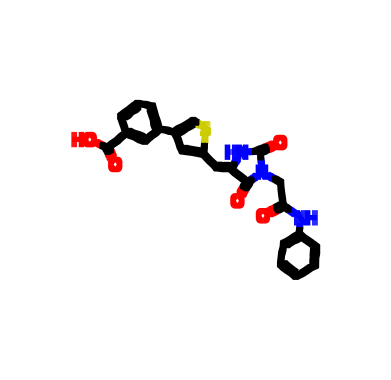 O=C(CN1C(=O)N/C(=C\c2cc(-c3cccc(C(=O)O)c3)cs2)C1=O)Nc1ccccc1